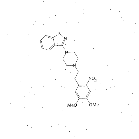 COc1cc(CCN2CCN(c3nsc4ccccc34)CC2)c([N+](=O)[O-])cc1OC